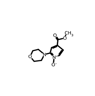 COC(=O)c1cc[n+]([O-])c(N2CCOCC2)c1